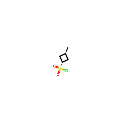 C[C@H]1C[C@H](S(=O)(=O)Cl)C1